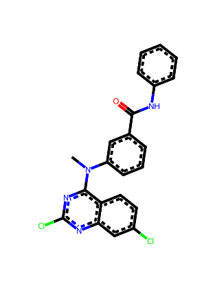 CN(c1cccc(C(=O)Nc2ccccc2)c1)c1nc(Cl)nc2cc(Cl)ccc12